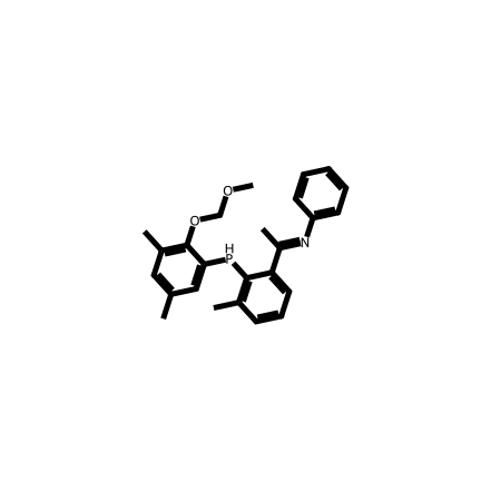 COCOc1c(C)cc(C)cc1Pc1c(C)cccc1/C(C)=N/c1ccccc1